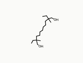 CCC(C)(CO)CCCCCCCC(C)(CC)CO